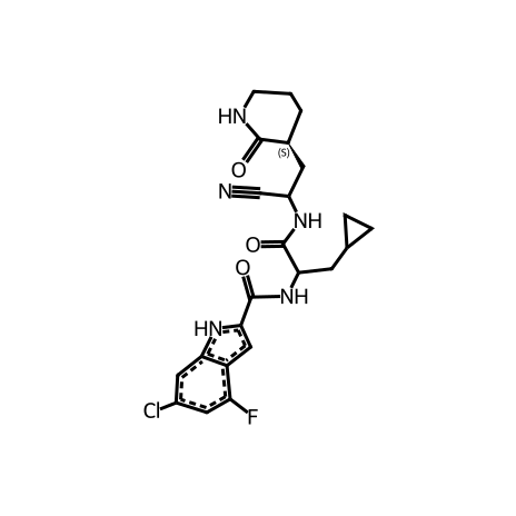 N#CC(C[C@@H]1CCCNC1=O)NC(=O)C(CC1CC1)NC(=O)c1cc2c(F)cc(Cl)cc2[nH]1